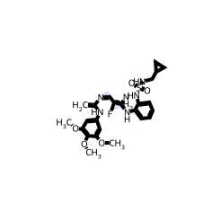 C=C(/N=C\C(F)=C(/N)Nc1ccccc1NS(=O)(=O)NCC1CC1)Nc1cc(OC)c(OC)c(OC)c1